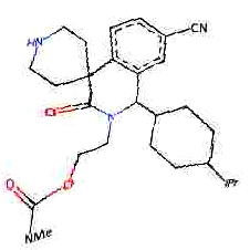 CNC(=O)OCCN1C(=O)C2(CCNCC2)c2ccc(C#N)cc2C1C1CCC(C(C)C)CC1